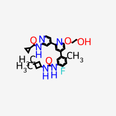 Cc1cc(F)c(NC(=O)NC2CC(C)(C)C2)cc1-c1cc(OCCO)nc(-c2ccnc(NC(=O)C3CC3)c2)c1